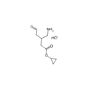 Cl.NCC(CC=O)CC(=O)OC1CC1